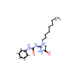 CCCCCCCCN1CC(=O)N/C1=N\C(=O)Nc1ccccc1